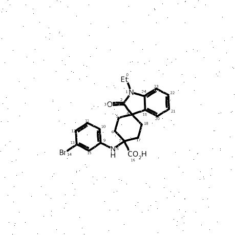 CCN1C(=O)C2(CCC(Nc3cccc(Br)c3)(C(=O)O)CC2)c2ccccc21